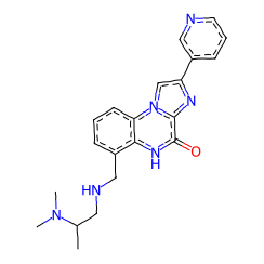 CC(CNCc1cccc2c1[nH]c(=O)c1nc(-c3cccnc3)cn12)N(C)C